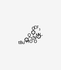 Cc1ccc(N2C(=O)C(O)=C(C(=O)c3ccc(C(C)(C)C)cc3)[C@H]2c2ccc(OC(F)(F)F)cc2)nn1